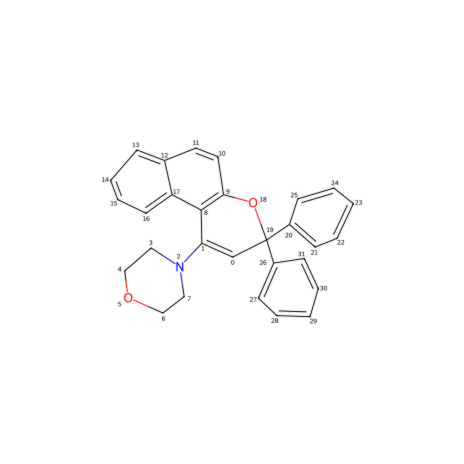 C1=C(N2CCOCC2)c2c(ccc3ccccc23)OC1(c1ccccc1)c1ccccc1